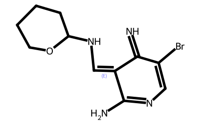 N=C1C(Br)=CN=C(N)/C1=C/NC1CCCCO1